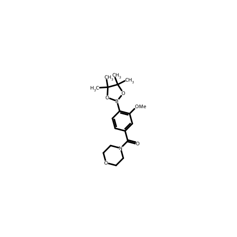 COc1cc(C(=O)N2CCOCC2)ccc1B1OC(C)(C)C(C)(C)O1